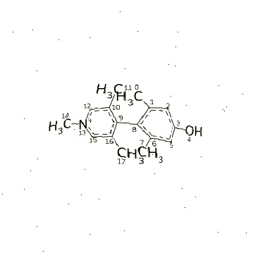 Cc1cc(O)cc(C)c1-c1c(C)c[n+](C)cc1C